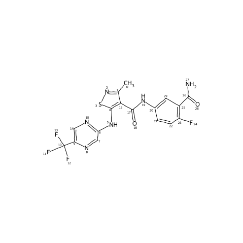 Cc1nsc(Nc2cnc(C(F)(F)F)cn2)c1C(=O)Nc1ccc(F)c(C(N)=O)c1